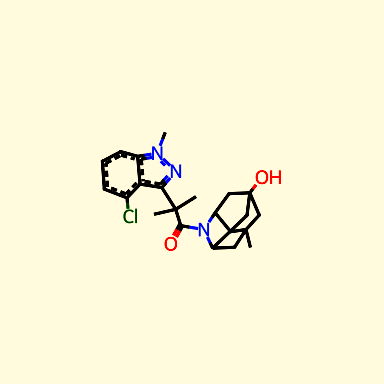 Cn1nc(C(C)(C)C(=O)N2C3CC4(C)CC2CC(O)(C3)C4)c2c(Cl)cccc21